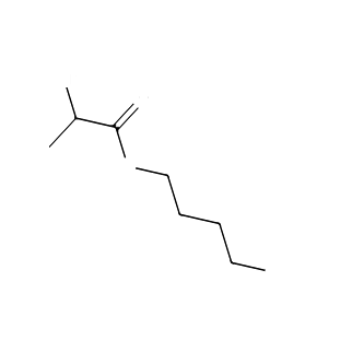 CCCCCCCCCCCCOC(=O)C(C)CCCC